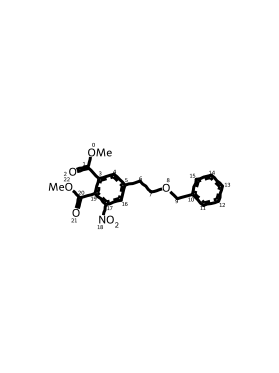 COC(=O)c1cc(CCOCc2ccccc2)cc([N+](=O)[O-])c1C(=O)OC